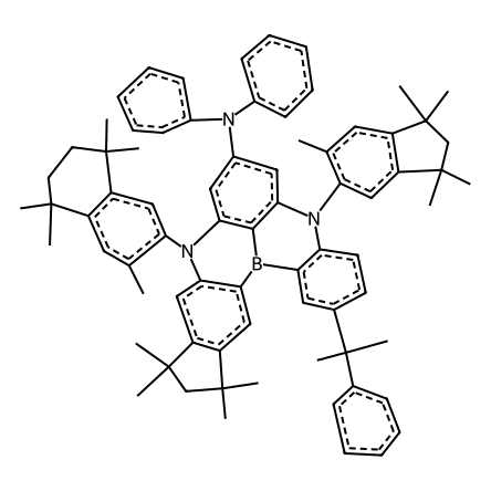 Cc1cc2c(cc1N1c3cc4c(cc3B3c5cc(C(C)(C)c6ccccc6)ccc5N(c5cc6c(cc5C)C(C)(C)CC6(C)C)c5cc(N(c6ccccc6)c6ccccc6)cc1c53)C(C)(C)CC4(C)C)C(C)(C)CCC2(C)C